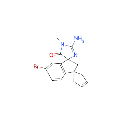 CN1C(=O)C2(CC3(CC=CC3)c3ccc(Br)cc32)N=C1N